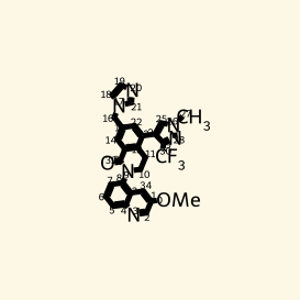 COc1cnc2cccc(N3CCc4c(cc(Cn5ccnc5)cc4-c4cn(C)nc4C(F)(F)F)C3=O)c2c1